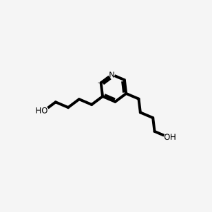 OCCCCc1[c]ncc(CCCCO)c1